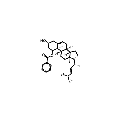 CC[C@@H](/C=C/[C@@H](C)[C@H]1CC[C@H]2[C@@H]3CC=C4C[C@H](O)CC(OC(=O)c5ccccc5)[C@]4(C)[C@H]3CC[C@]12C)C(C)C